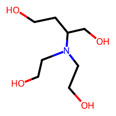 OCCC(CO)N(CCO)CCO